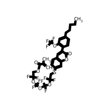 C=C(C)C(=O)OCC(F)(F)OC(F)(F)OC(F)(F)OC(F)(F)CSc1ccc2cc(-c3ccc(CCCCC)cc3OC(F)(F)F)c(=O)oc2c1